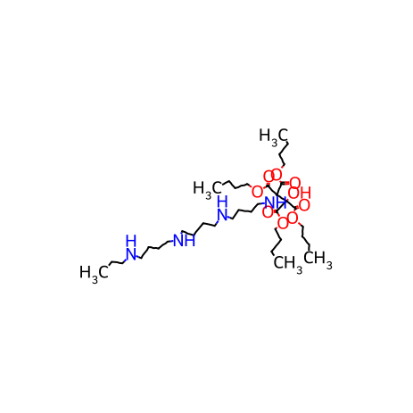 CCCCOC(=O)C(O)(C(=O)OCCCC)C(NCCCCNCCCCNCCCCNCCC)(C(=O)OCCCC)C(=O)OCCCC